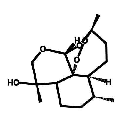 C[C@@H]1CCC2[C@]34OO[C@@](C)(CC[C@@H]13)O[C@H]4OC[C@@]2(C)O